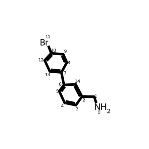 NCc1cccc(-c2ccc(Br)cc2)c1